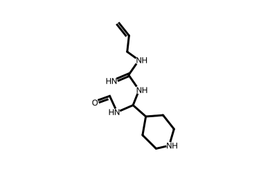 C=CCNC(=N)NC(NC=O)C1CCNCC1